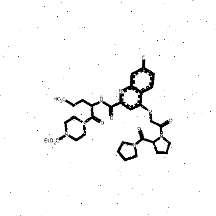 CCOC(=O)N1CCN(C(=O)C(CCC(=O)O)NC(=O)c2cc(OCC(=O)N3CCCC3C(=O)N3CCCC3)c3ccc(F)cc3n2)CC1